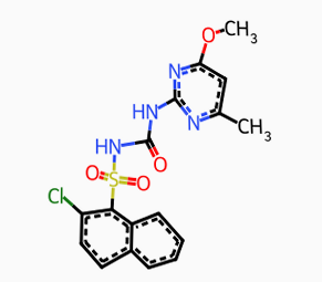 COc1cc(C)nc(NC(=O)NS(=O)(=O)c2c(Cl)ccc3ccccc23)n1